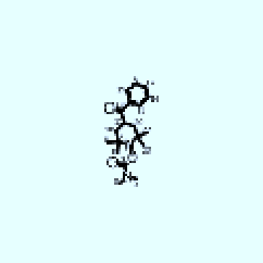 CN(C)C(=O)ON1C(C)(C)CC(C(=O)c2ccccc2)CC1(C)C